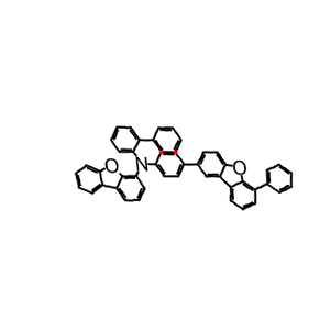 c1ccc(-c2ccccc2N(c2ccc(-c3ccc4oc5c(-c6ccccc6)cccc5c4c3)cc2)c2cccc3c2oc2ccccc23)cc1